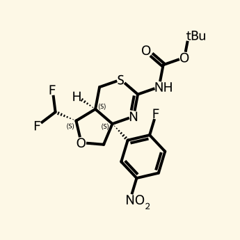 CC(C)(C)OC(=O)NC1=N[C@@]2(c3cc([N+](=O)[O-])ccc3F)CO[C@H](C(F)F)[C@H]2CS1